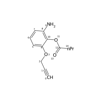 C#CCOc1cccc(N)c1OC(=O)CCC